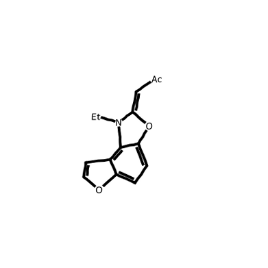 CCN1/C(=C/C(C)=O)Oc2ccc3occc3c21